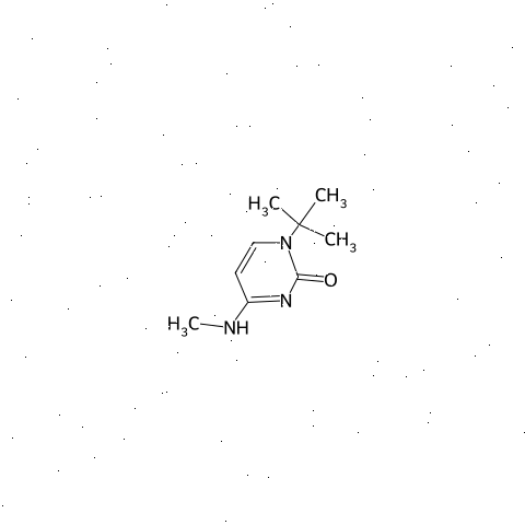 CNc1ccn(C(C)(C)C)c(=O)n1